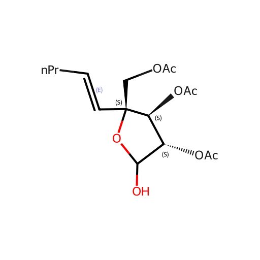 CCC/C=C/[C@@]1(COC(C)=O)OC(O)[C@@H](OC(C)=O)[C@@H]1OC(C)=O